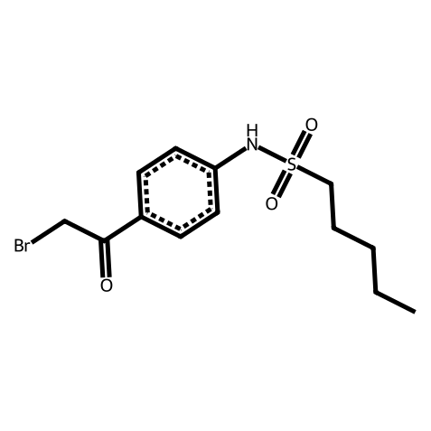 CCCCCS(=O)(=O)Nc1ccc(C(=O)CBr)cc1